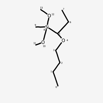 CCCCOC(CC)[Si](C)(OC)OC